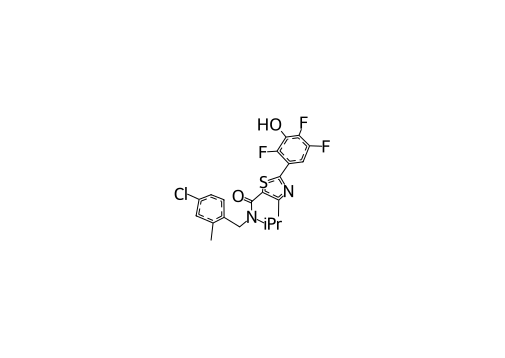 Cc1cc(Cl)ccc1CN(C(=O)c1sc(-c2cc(F)c(F)c(O)c2F)nc1C)C(C)C